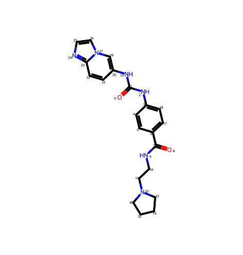 O=C(Nc1ccc(C(=O)NCCN2CCCC2)cc1)Nc1ccc2nccn2c1